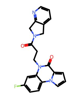 O=C(CCn1c(=O)c2cccn2c2ccc(F)cc21)N1Cc2cccnc2C1